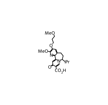 COCCCOc1cc2c(nc1OC)-c1cc(=O)c(C(=O)O)cn1C(C(C)C)CC2